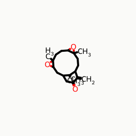 C=C1C(=O)CC2CC3OC3(C)CCC3OC3(C)CCC1C2(C)C